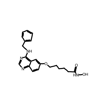 O=C(CCCCCOc1ccc2ncnc(NCc3ccccc3)c2c1)NO